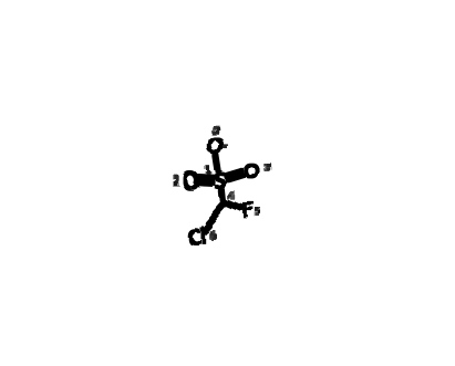 [O]S(=O)(=O)C(F)Cl